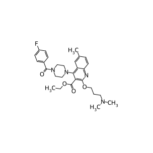 CCOC(=O)c1c(OCCCN(C)C)nc2ccc(C)cc2c1N1CCN(C(=O)c2ccc(F)cc2)CC1